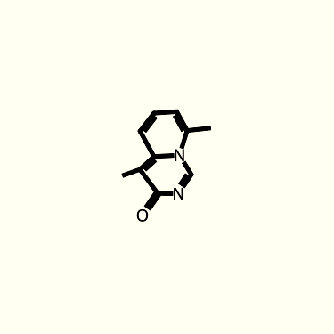 Cc1c(=O)ncn2c(C)cccc12